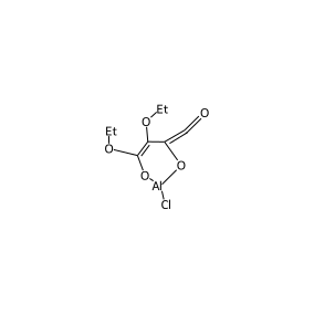 CCOC1=C(OCC)C(=C=O)[O][Al]([Cl])[O]1